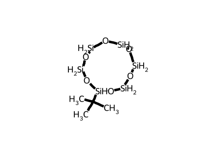 CC(C)(C)[SiH]1O[SiH2]O[SiH2]O[SiH2]O[SiH2]O[SiH2]O1